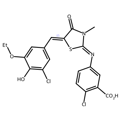 CCOc1cc(/C=C2\SC(=Nc3ccc(Cl)c(C(=O)O)c3)N(C)C2=O)cc(Cl)c1O